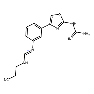 N#CCCN/C=N/c1cccc(-c2csc(NC(=N)N)n2)c1